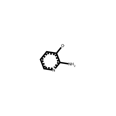 Nc1ncccc1[O]